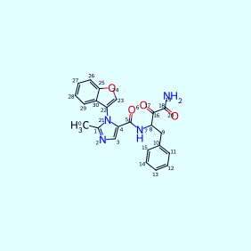 Cc1ncc(C(=O)NC(Cc2ccccc2)C(=O)C(N)=O)n1-c1coc2ccccc12